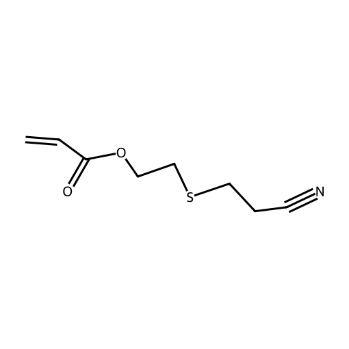 C=CC(=O)OCCSCCC#N